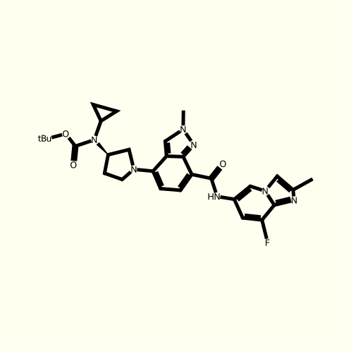 Cc1cn2cc(NC(=O)c3ccc(N4CC[C@@H](N(C(=O)OC(C)(C)C)C5CC5)C4)c4cn(C)nc34)cc(F)c2n1